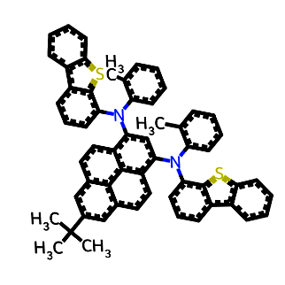 Cc1ccccc1N(c1cc(N(c2ccccc2C)c2cccc3c2sc2ccccc23)c2ccc3cc(C(C)(C)C)cc4ccc1c2c43)c1cccc2c1sc1ccccc12